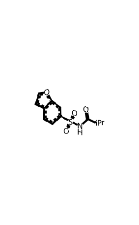 CC(C)C(=O)NS(=O)(=O)c1ccc2ccoc2c1